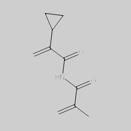 C=C(C)C(=O)NC(=O)C(=C)C1CC1